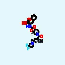 CC(C)(C=C(C#N)C(=O)N1CCC[C@](C)(OC(=O)NC(Cc2ccccc2)B(O)O)C1)N1CCC(F)(F)C1